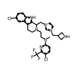 CN(CCN1CCc2c([nH]c3ccc(Cl)cc23)C1C[n+]1ccn(CC2CNC2)c1)c1ccc(Cl)c(C(F)(F)F)n1